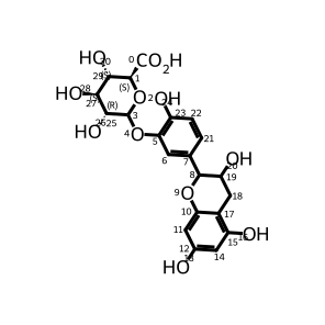 O=C(O)[C@H]1OC(Oc2cc(C3Oc4cc(O)cc(O)c4CC3O)ccc2O)[C@H](O)[C@@H](O)[C@@H]1O